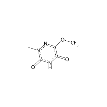 Cn1nc(OC(F)(F)F)c(=O)[nH]c1=O